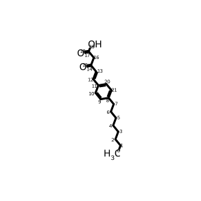 CCCCCCCCc1ccc(/C=C/C(=O)CC(=O)O)cc1